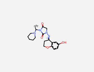 CCCC(N1CCCCC1)N1C(=O)CN(/N=C2\CCOc3ccc(O)cc32)C1=O